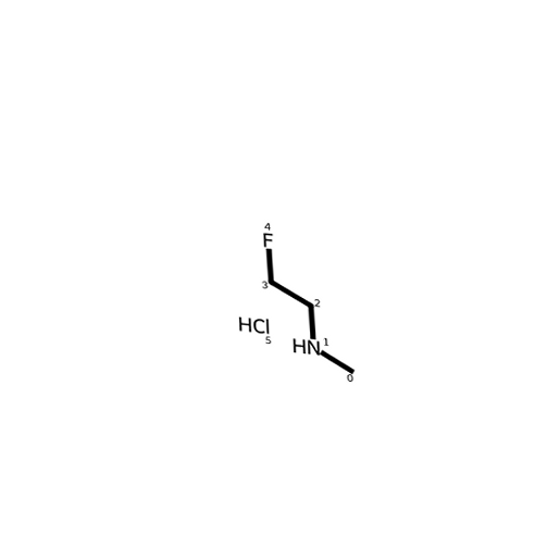 CNCCF.Cl